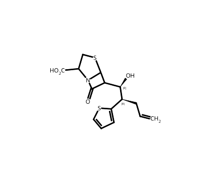 C=CC[C@@H](c1cccs1)[C@H](O)C1C(=O)N2C(C(=O)O)CSC12